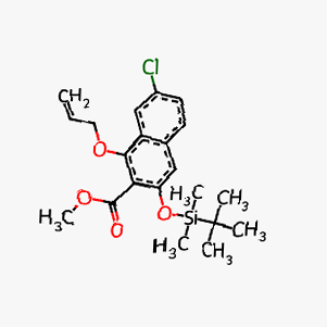 C=CCOc1c(C(=O)OC)c(O[Si](C)(C)C(C)(C)C)cc2ccc(Cl)cc12